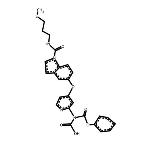 CSCCCNC(=O)n1ccc2cc(Oc3ccnc(N(C(=O)O)C(=O)Oc4ccccc4)c3)ccc21